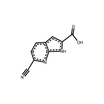 N#Cc1ccc2cc(C(=O)O)[nH]c2n1